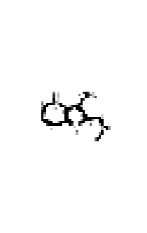 C/N=C\c1oc2c(c1N)NCC=C2